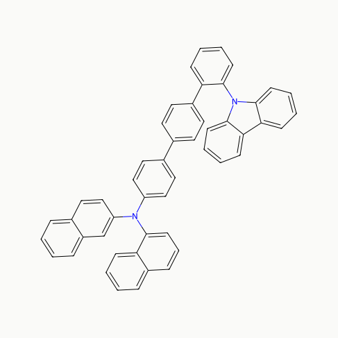 c1ccc(-n2c3ccccc3c3ccccc32)c(-c2ccc(-c3ccc(N(c4ccc5ccccc5c4)c4cccc5ccccc45)cc3)cc2)c1